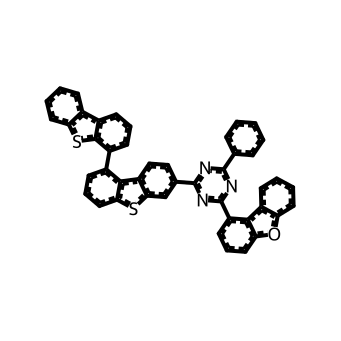 c1ccc(-c2nc(-c3ccc4c(c3)sc3cccc(-c5cccc6c5sc5ccccc56)c34)nc(-c3cccc4oc5ccccc5c34)n2)cc1